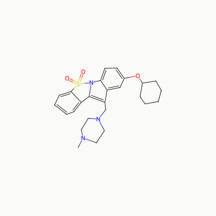 CN1CCN(Cc2c3n(c4ccc(OC5CCCCC5)cc24)S(=O)(=O)c2ccccc2-3)CC1